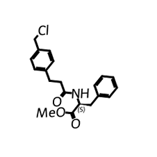 COC(=O)[C@H](Cc1ccccc1)NC(=O)CCc1ccc(CCl)cc1